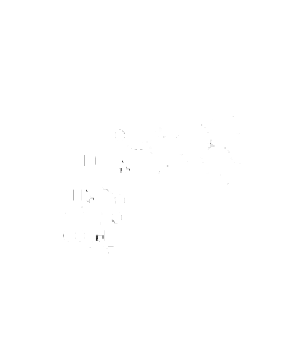 CC[C@@H](C(=O)NC(CC(=O)O)C(=O)CF)N1Cc2cc(-c3cccc4ccccc34)ccc2C1=O